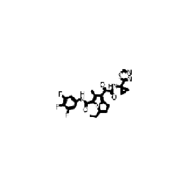 CCC1CCc2c(C(=O)C(=O)NC3(c4nncs4)CC3)c(C)c(C(=O)Nc3cc(F)c(F)c(F)c3)n21